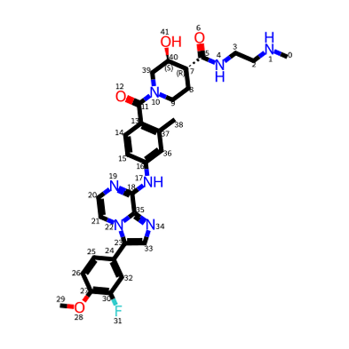 CNCCNC(=O)[C@@H]1CCN(C(=O)c2ccc(Nc3nccn4c(-c5ccc(OC)c(F)c5)cnc34)cc2C)C[C@H]1O